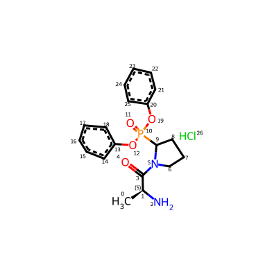 C[C@H](N)C(=O)N1CCCC1P(=O)(Oc1ccccc1)Oc1ccccc1.Cl